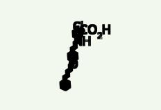 O=C(O)c1cc(NCCCc2ccc(OCCCCCc3ccccc3)cc2)ccc1Cl